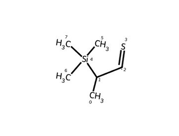 CC([C]=S)[Si](C)(C)C